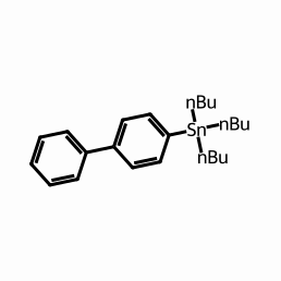 CCC[CH2][Sn]([CH2]CCC)([CH2]CCC)[c]1ccc(-c2ccccc2)cc1